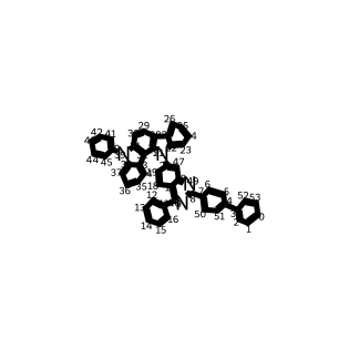 c1ccc(-c2ccc(-c3nc(-c4ccccc4)c4ccc(-n5c6ccccc6c6ccc7c(c8ccccc8n7-c7ccccc7)c65)cc4n3)cc2)cc1